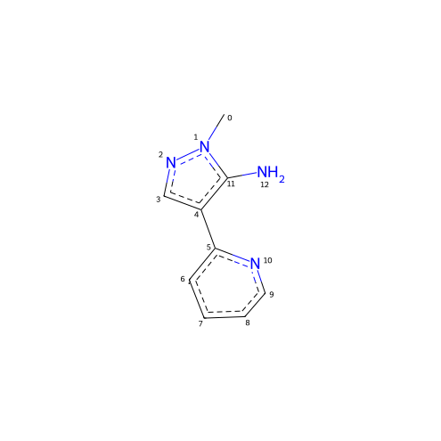 Cn1ncc(-c2[c]cccn2)c1N